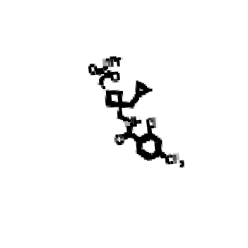 CCCS(=O)(=O)C[C@H]1C[C@@](CNC(=O)c2ccc(C(F)(F)F)cc2Cl)(CC2CC2)C1